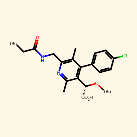 Cc1nc(CNC(=O)CC(C)(C)C)c(C)c(-c2ccc(Cl)cc2)c1[C@H](OC(C)(C)C)C(=O)O